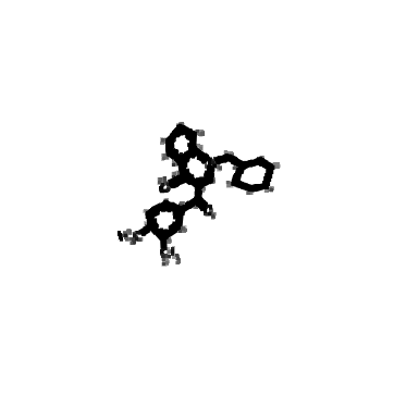 Cc1ccc(C(=O)c2cn(CC3CCCCC3)c3ccccc3c2=O)cc1C